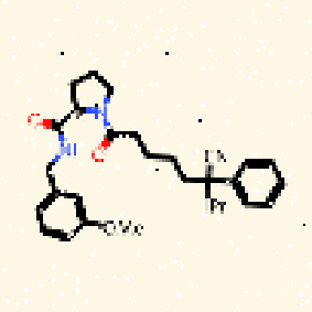 COc1cccc(CNC(=O)[C@H]2CCCN2C(=O)CCCCC(C#N)(c2ccccc2)C(C)C)c1